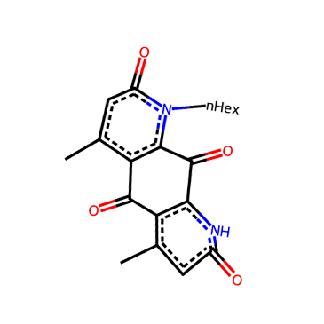 CCCCCCn1c2c(c(C)cc1=O)C(=O)c1c(C)cc(=O)[nH]c1C2=O